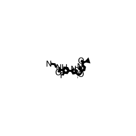 C[C@@H](Oc1ccc(C(=O)C2CC2)nc1)c1cc(-c2ccc(C(=O)NCCC#N)c(F)c2)ns1